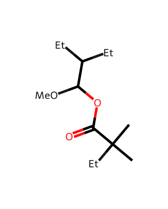 CCC(CC)C(OC)OC(=O)C(C)(C)CC